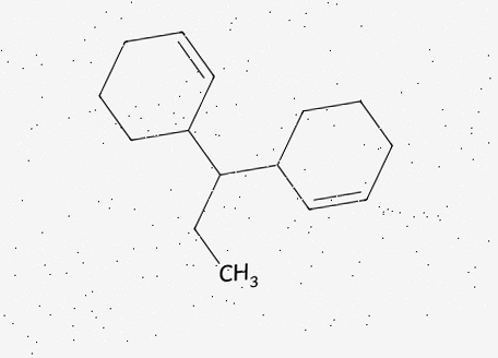 CCC(C1C=CCCC1)C1C=CCCC1